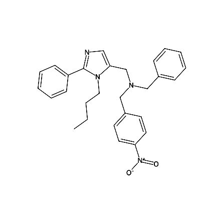 CCCCn1c(CN(Cc2ccccc2)Cc2ccc([N+](=O)[O-])cc2)cnc1-c1ccccc1